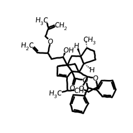 C=CC(C[C@@H](O)C12C[C@@H]3[C@H](C)CC[C@H]3C3(C4OCCO4)CC1C=C(C(C)C)C23C(=O)OC(c1ccccc1)c1ccccc1)OCC(=C)C